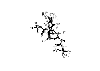 CC(C)(C)OC(=O)NC1C[C@@H]2CC3C[C@H]1[C@H](OC(=O)C(C)(C)C)C2N(C(=O)CC(F)(F)F)C3